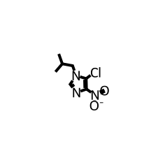 CC(C)Cn1cnc([N+](=O)[O-])c1Cl